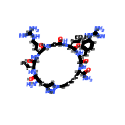 CC(C)C[C@H]1NC(=O)[C@H](N)Cc2cn(nn2)CCCC[C@H](C(N)=O)NC(=O)[C@@H](Cc2ccc(NC(=N)N)cc2)NC(=O)[C@@H](CCC(=O)O)NC(=O)CNC(=O)[C@@H](CCCNC(=N)N)NC1=O